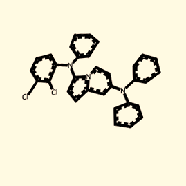 Clc1cccc(N(c2ccccc2)c2ccc3cc(N(c4ccccc4)c4ccccc4)ccn23)c1Cl